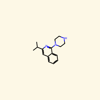 CC(C)c1cc2ccccc2c(N2CCNCC2)n1